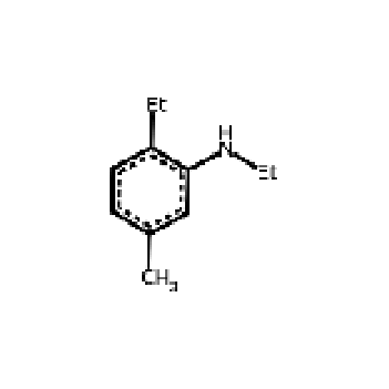 CCNc1cc(C)ccc1CC